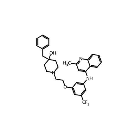 Cc1cc(Nc2cc(OCCN3CCC(O)(Cc4ccccc4)CC3)cc(C(F)(F)F)c2)c2ccccc2n1